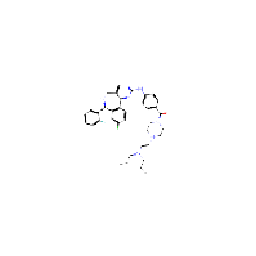 CCCN(CCC)CCN1CCN(C(=O)c2ccc(Nc3ncc4c(n3)-c3ccc(Cl)cc3C(c3ccccc3F)=NC4)cc2)CC1